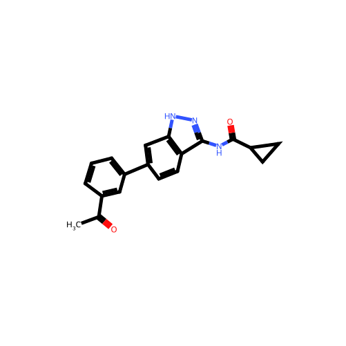 CC(=O)c1cccc(-c2ccc3c(NC(=O)C4CC4)n[nH]c3c2)c1